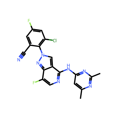 Cc1cc(Nc2ncc(F)c3nn(-c4c(Cl)cc(F)cc4C#N)cc23)nc(C)n1